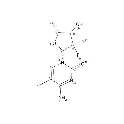 C[C@H]1O[C@@H](n2cc(F)c(N)nc2=O)[C@](C)(F)C1O